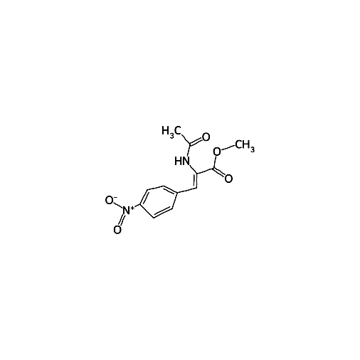 COC(=O)/C(=C/c1ccc([N+](=O)[O-])cc1)NC(C)=O